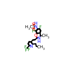 CCCc1nc(C(F)(F)F)ccc1C=CC(=O)N[C@H](C)c1cc(F)c(NS(C)(=O)=O)c(F)c1